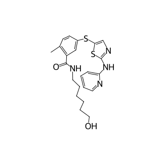 Cc1ccc(Sc2cnc(Nc3ccccn3)s2)cc1C(=O)NCCCCCCO